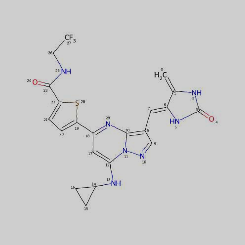 C=c1[nH]c(=O)[nH]/c1=C\c1cnn2c(NC3CC3)cc(-c3ccc(C(=O)NCC(F)(F)F)s3)nc12